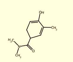 CC1=CC(C(=O)N(C)C)CC=C1O